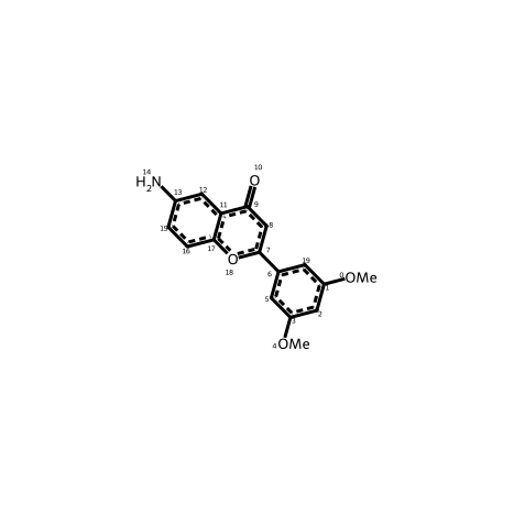 COc1cc(OC)cc(-c2cc(=O)c3cc(N)ccc3o2)c1